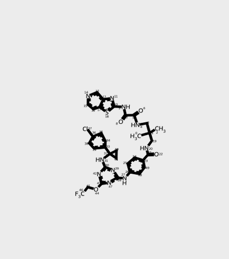 CC(C)(CNC(=O)C(=O)Nc1nc2cnccc2s1)CNC(=O)c1ccc(Nc2nc(NC3(c4ccc(Cl)cc4)CC3)nc(OCC(F)(F)F)n2)cc1